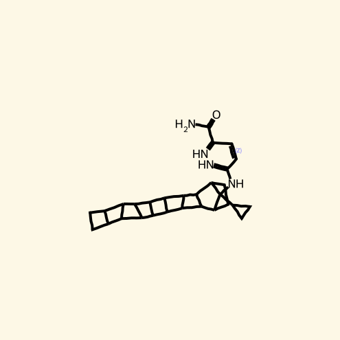 N=C(/C=C\C(=N)C(N)=O)NC1(C2CC2)C2CCC1C1C3C4C5C6C7C8CCC8C7C6C5C4C3C12